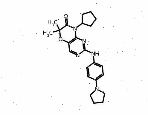 CC1(C)Oc2cnc(Nc3ccc(N4CCCC4)cc3)nc2N(C2CCCC2)C1=O